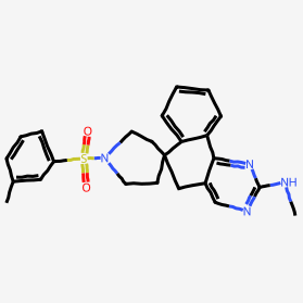 CNc1ncc2c(n1)-c1ccccc1C1(CCN(S(=O)(=O)c3cccc(C)c3)CC1)C2